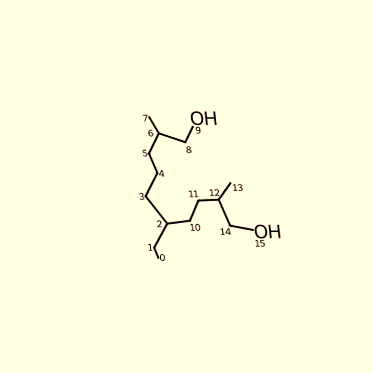 CCC(CCCC(C)CO)CCC(C)CO